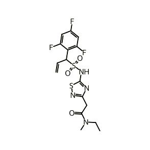 C=CC(c1c(F)cc(F)cc1F)S(=O)(=O)Nc1nc(CC(=O)N(C)CC)ns1